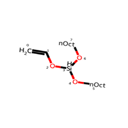 C=CO[SiH](OCCCCCCCC)OCCCCCCCC